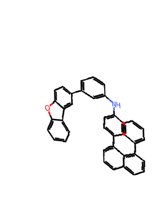 c1ccc(-c2cccc3cccc(-c4ccc(Nc5cccc(-c6ccc7oc8ccccc8c7c6)c5)cc4)c23)cc1